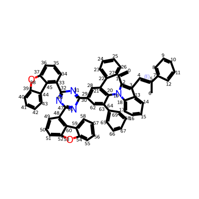 C=Cc1c(/C=C(\C)c2ccccc2)c2ccccc2n1-c1c(-c2ccccc2)cc(-c2nc(-c3cccc4oc5ccccc5c34)nc(-c3cccc4oc5ccccc5c34)n2)cc1-c1ccccc1